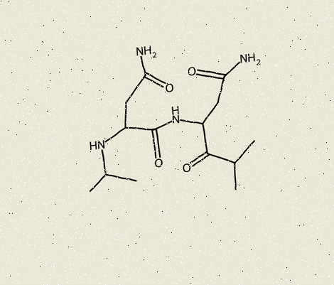 CC(C)NC(CC(N)=O)C(=O)NC(CC(N)=O)C(=O)C(C)C